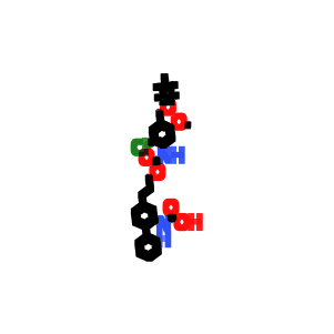 COc1cc(NC(=O)OCCCc2ccc(-c3ccccc3)c(NC(=O)O)c2)c(Cl)cc1CO[Si](C)(C)C(C)(C)C